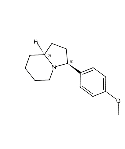 COc1ccc([C@@H]2CC[C@@H]3CCCCN32)cc1